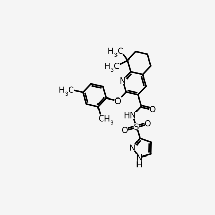 Cc1ccc(Oc2nc3c(cc2C(=O)NS(=O)(=O)c2cc[nH]n2)CCCC3(C)C)c(C)c1